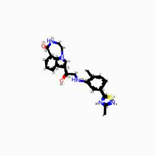 Cc1nsc(-c2ccc(C)c(NCC(=O)c3cn4c5c(cccc35)C(=O)NCC4)c2)n1